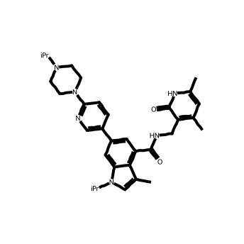 Cc1cc(C)c(CNC(=O)c2cc(-c3ccc(N4CCN(C(C)C)CC4)nc3)cc3c2c(C)cn3C(C)C)c(=O)[nH]1